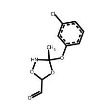 CC1(Oc2cccc(Cl)c2)NOC(C=O)O1